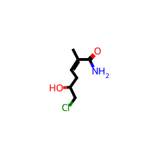 CC(=CCC(O)CCl)C(N)=O